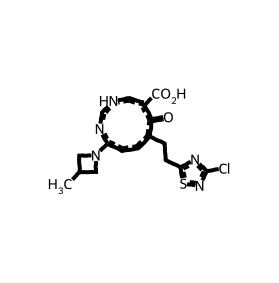 CC1CN(c2ccc(CCc3nc(Cl)ns3)c(=O)c(C(=O)O)c[nH]cn2)C1